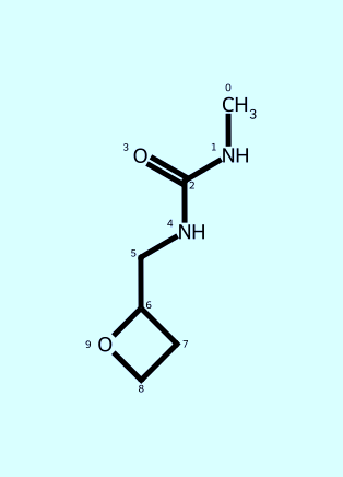 CNC(=O)NCC1CCO1